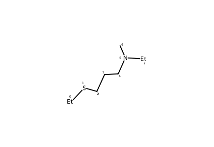 CCSCCCN(C)CC